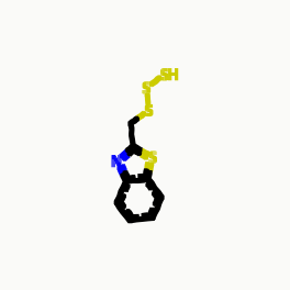 SSSCc1nc2ccccc2s1